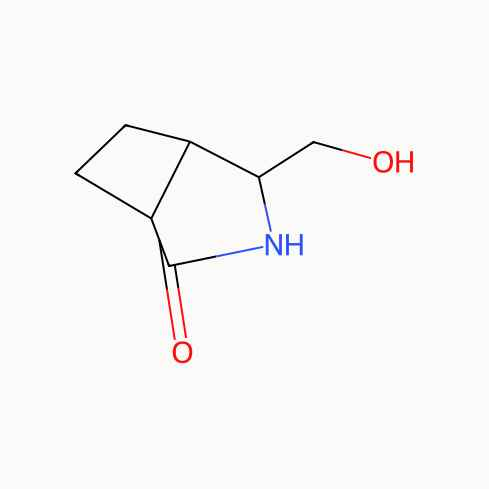 O=C1NC(CO)C2CCC12